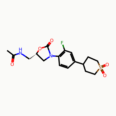 CC(=O)NC[C@H]1CN(c2ccc(C3CCS(=O)(=O)CC3)cc2F)C(=O)O1